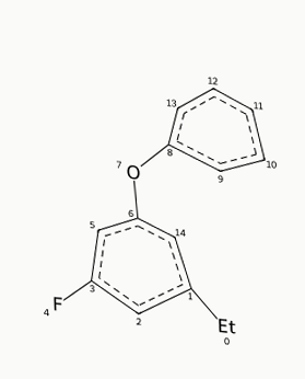 CCc1cc(F)cc(Oc2ccccc2)c1